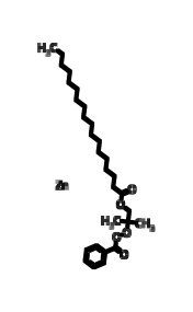 CCCCCCCCCCCCCCCCCC(=O)OCC(C)(C)OOC(=O)c1ccccc1.[Zn]